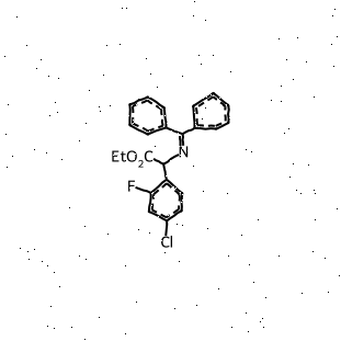 CCOC(=O)C(N=C(c1ccccc1)c1ccccc1)c1ccc(Cl)cc1F